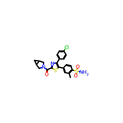 Cc1cc(-c2sc(C(=O)N3CC4CC4C3)nc2-c2ccc(Cl)cc2)ccc1S(N)(=O)=O